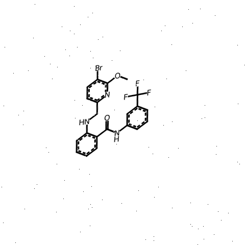 COc1nc(CNc2ccccc2C(=O)Nc2cccc(C(F)(F)F)c2)ccc1Br